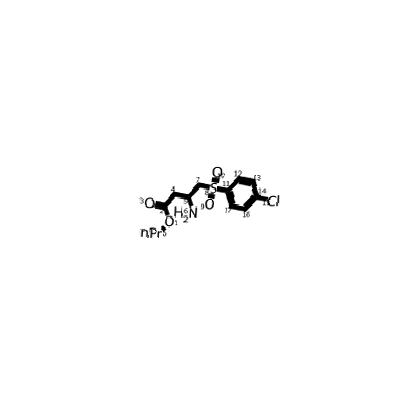 CCCOC(=O)CC(N)CS(=O)(=O)c1ccc(Cl)cc1